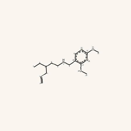 C=CCC(CC)CCNCc1cnc(OC)nc1OC